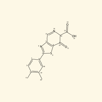 Cc1ccc(-c2nc3c(s2)C(=O)C(C(=O)O)N=C3)cc1C